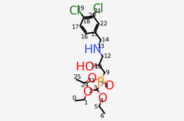 CCOC(OCC)P(=O)(C[C@@H](O)CNCc1ccc(Cl)c(Cl)c1)OCC